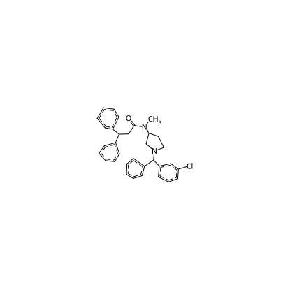 CN(C(=O)CC(c1ccccc1)c1ccccc1)[C@H]1CCN(C(c2ccccc2)c2cccc(Cl)c2)C1